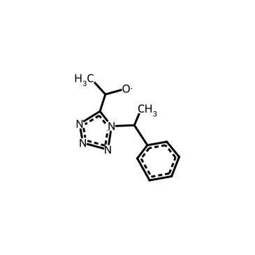 CC([O])c1nnnn1C(C)c1ccccc1